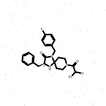 CCC(CC)C(=O)N1CCC2(CC1)N[C@@H](Cc1ccccc1)C(=O)N2Cc1ccc(F)cc1